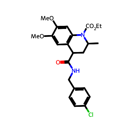 CCOC(=O)N1c2cc(OC)c(OC)cc2C(C(=O)NCc2ccc(Cl)cc2)CC1C